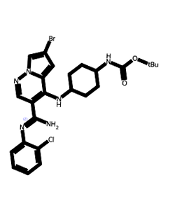 CC(C)(C)OC(=O)NC1CCC(Nc2c(/C(N)=N/c3ccccc3Cl)cnn3cc(Br)cc23)CC1